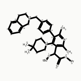 Cc1nc(C)c(C(OC(C)(C)C)C(=O)OC(C)C)c(N2CCC(C)(C)CC2)c1-c1ccc(CN2CCc3ccccc3C2)cc1